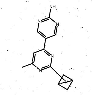 Cc1cc(-c2cnc(N)nc2)nc(N2CC3CC2C3)n1